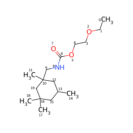 CCOCCOC(=O)NCC1(C)CC(C)CC(C)(C)C1